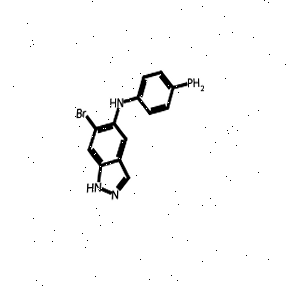 Pc1ccc(Nc2cc3cn[nH]c3cc2Br)cc1